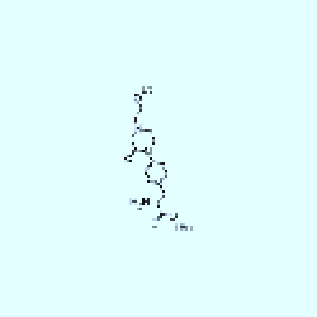 CCOCCN1CCN(c2ccc(CC(N)C(=O)OC(C)(C)C)cc2)C(=O)C1